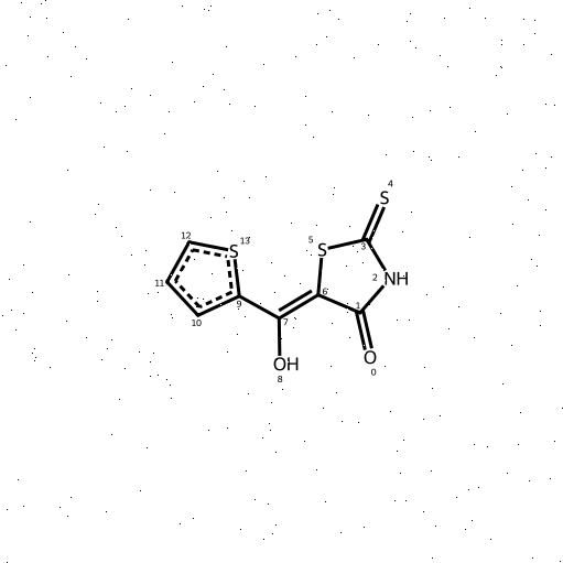 O=C1NC(=S)SC1=C(O)c1cccs1